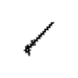 CCCCCCCCCCCCCCCCCCCC(=O)NCCc1coc2ccc(OC)cc12